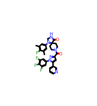 Cc1cc(N2CNC(=O)C23CCN(C(=O)c2cc(-c4cccnc4)n(-c4cc(F)c(F)c(F)c4)n2)CC3)cc(C)c1F